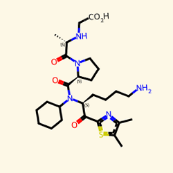 Cc1nc(C(=O)[C@H](CCCCN)N(C(=O)[C@@H]2CCCN2C(=O)[C@H](C)NCC(=O)O)C2CCCCC2)sc1C